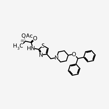 CC(=O)O[C@@H](C)C(=O)Nc1nc(CN2CCC(OC(c3ccccc3)c3ccccc3)CC2)cs1